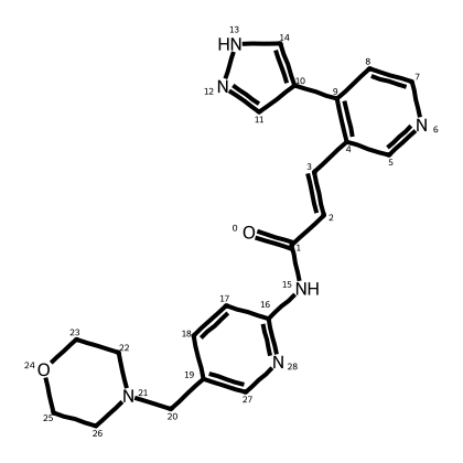 O=C(/C=C/c1cnccc1-c1cn[nH]c1)Nc1ccc(CN2CCOCC2)cn1